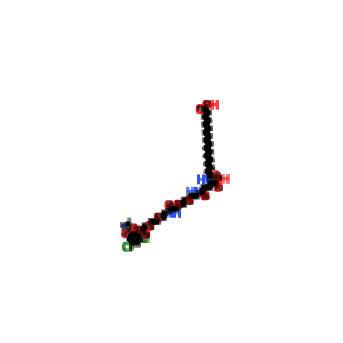 CN(C)S(=O)(=O)c1cc(Cl)cc(Cl)c1OC(=O)COCCOCCNC(=O)COCCOCCNC(=O)CCC(NC(=O)CCCCCCCCCCCCCCCCC(=O)O)C(=O)O